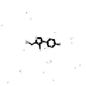 Cc1c(-c2ccc(F)cc2)[c]sc1CBr